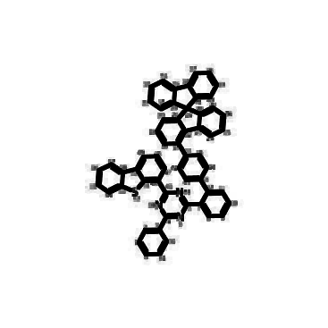 c1ccc(-c2nc(-c3ccccc3-c3ccc(-c4cccc5c4-c4ccccc4C54c5ccccc5-c5ccccc54)cc3)nc(-c3cccc4c3sc3ccccc34)n2)cc1